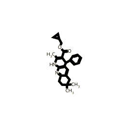 CC1=C(C(=O)OCC2CC2)C(c2ccccc2)c2cc3c(nc2N1)CCC(C)(C)C3